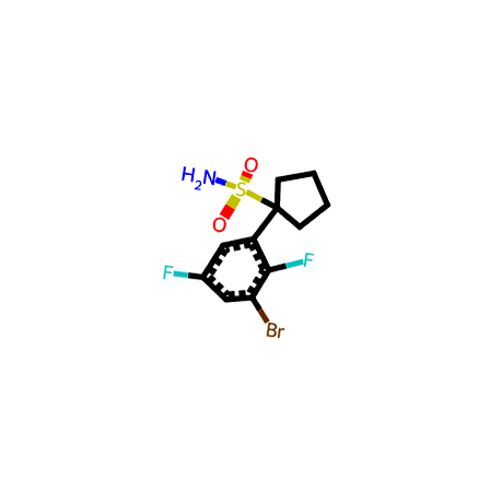 NS(=O)(=O)C1(c2cc(F)cc(Br)c2F)CCCC1